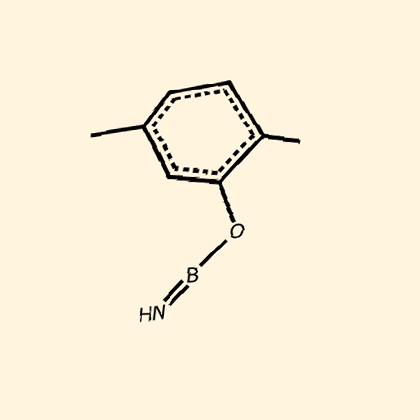 Cc1ccc(C)c(OB=N)c1